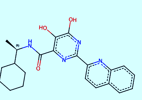 C[C@@H](NC(=O)c1nc(-c2ccc3ccccc3n2)nc(O)c1O)C1CCCCC1